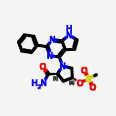 CS(=O)(=O)O[C@@H]1C[C@@H](C(N)=O)N(c2nc(-c3ccccc3)nc3[nH]ccc23)C1